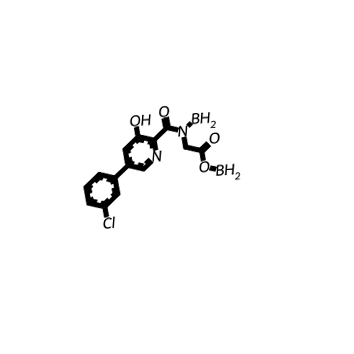 BOC(=O)CN(B)C(=O)c1ncc(-c2cccc(Cl)c2)cc1O